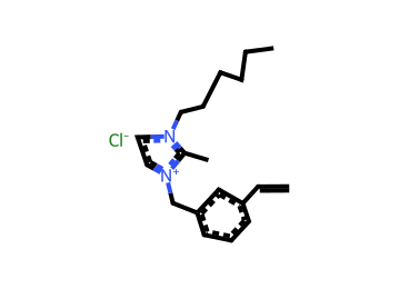 C=Cc1cccc(C[n+]2ccn(CCCCCC)c2C)c1.[Cl-]